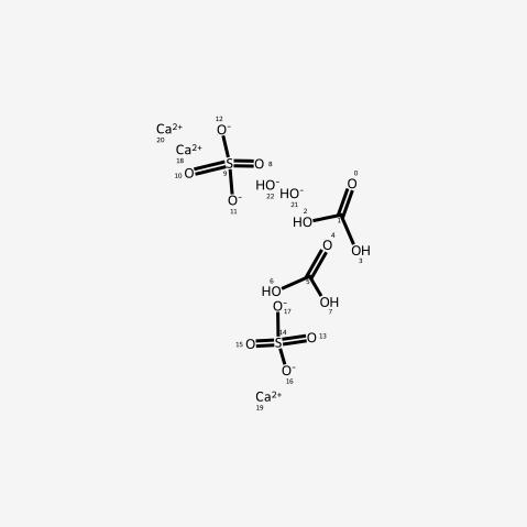 O=C(O)O.O=C(O)O.O=S(=O)([O-])[O-].O=S(=O)([O-])[O-].[Ca+2].[Ca+2].[Ca+2].[OH-].[OH-]